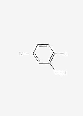 CCOC(=O)c1cc(Br)ccc1Br